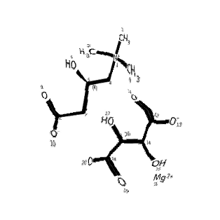 C[N+](C)(C)C[C@H](O)CC(=O)[O-].O=C([O-])C(O)C(O)C(=O)[O-].[Mg+2]